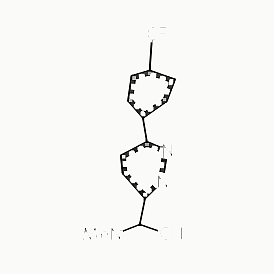 CNC(C)c1ccc(-c2ccc(C(F)(F)F)cc2)nn1